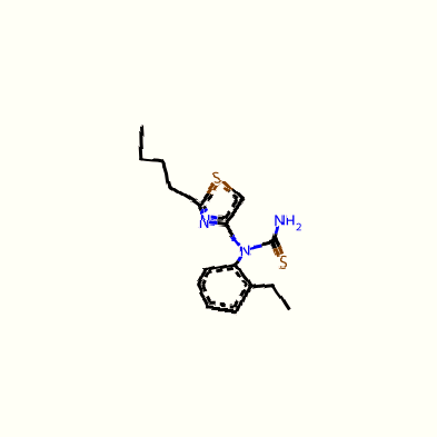 CCCCc1nc(N(C(N)=S)c2ccccc2CC)cs1